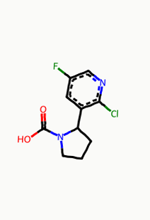 O=C(O)N1CCCC1c1cc(F)cnc1Cl